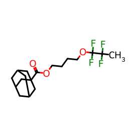 CC(F)(F)C(F)(F)OCCCCOC(=O)C12CC3CC(CC(C3)C1)C2